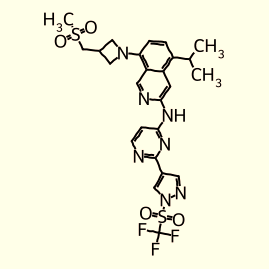 CC(C)c1ccc(N2CC(CS(C)(=O)=O)C2)c2cnc(Nc3ccnc(-c4cnn(S(=O)(=O)C(F)(F)F)c4)n3)cc12